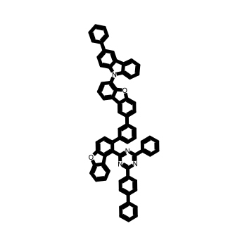 c1ccc(-c2ccc(-c3nc(-c4ccccc4)nc(-c4c(-c5cccc(-c6ccc7oc8c(-n9c%10ccccc%10c%10cc(-c%11ccccc%11)ccc%109)cccc8c7c6)c5)ccc5oc6ccccc6c45)n3)cc2)cc1